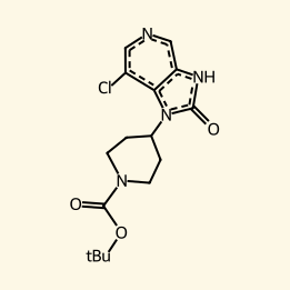 CC(C)(C)OC(=O)N1CCC(n2c(=O)[nH]c3cncc(Cl)c32)CC1